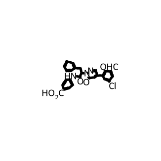 O=Cc1ccc(Cl)cc1-c1cnn(C(Cc2ccccc2)C(=O)Nc2ccc(C(=O)O)cc2)c(=O)c1